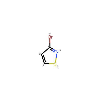 Brc1[c]csn1